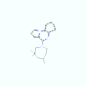 CC1CCN(c2nc3ccccc3n3cccc23)CC(C)(C)C1